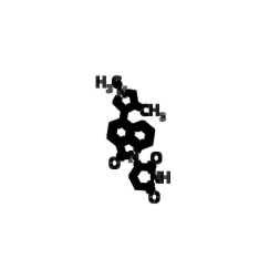 CC1CN(C)CC1c1ccc2c3c(cccc13)N(C1CCC(=O)NC1=O)C2=O